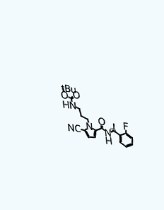 C[C@H](NC(=O)c1ccc(C#N)n1CCCNC(=O)OC(C)(C)C)c1ccccc1F